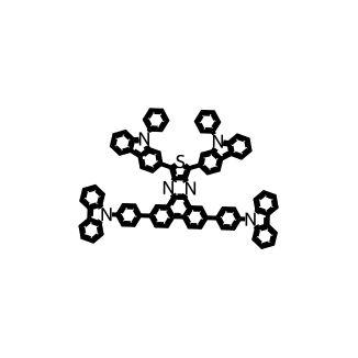 c1ccc(-n2c3ccccc3c3ccc(-c4sc(-c5ccc6c7ccccc7n(-c7ccccc7)c6c5)c5nc6c7cc(-c8ccc(-n9c%10ccccc%10c%10ccccc%109)cc8)ccc7c7ccc(-c8ccc(-n9c%10ccccc%10c%10ccccc%109)cc8)cc7c6nc45)cc32)cc1